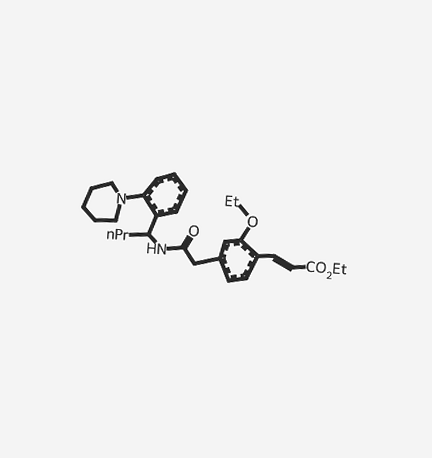 CCCC(NC(=O)Cc1ccc(C=CC(=O)OCC)c(OCC)c1)c1ccccc1N1CCCCC1